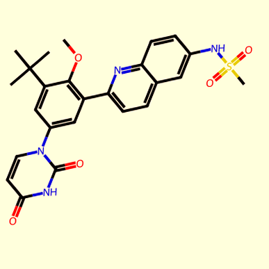 COc1c(-c2ccc3cc(NS(C)(=O)=O)ccc3n2)cc(-n2ccc(=O)[nH]c2=O)cc1C(C)(C)C